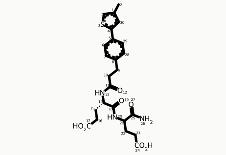 Cc1csc(-c2ccc(CCC(=O)N[C@@H](CCC(=O)O)C(=O)NC(CCC(=O)O)C(N)=O)cc2)c1